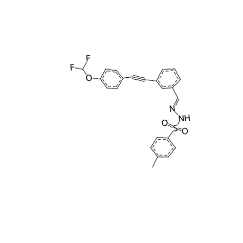 Cc1ccc(S(=O)(=O)N/N=C/c2cccc(C#Cc3ccc(OC(F)F)cc3)c2)cc1